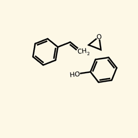 C1CO1.C=Cc1ccccc1.Oc1ccccc1